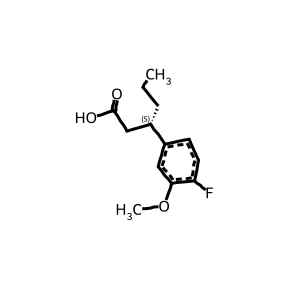 CCC[C@@H](CC(=O)O)c1ccc(F)c(OC)c1